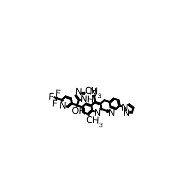 Cc1ncc(C(O)(c2ccc(C(F)(F)F)nc2)c2cc(C)c3nc(C#N)c(Cc4ccc(-n5cccn5)cc4)c(C#N)c3c2)[nH]1